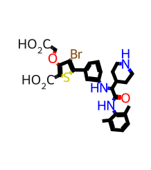 Cc1cccc(C)c1NC(=O)C(Nc1cccc(-c2sc(C(=O)O)c(OCC(=O)O)c2Br)c1)C1CCNCC1